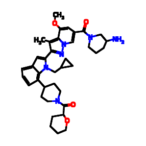 COc1cc(C(=O)N2CCCC(N)C2)cn2nc(-c3cc4cccc(C5CCN(C(=O)C6CCCCO6)CC5)c4n3CC3CC3)c(C)c12